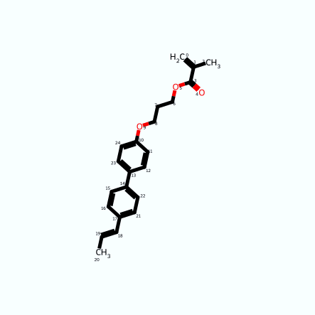 C=C(C)C(=O)OCCCOc1ccc(-c2ccc(/C=C/C)cc2)cc1